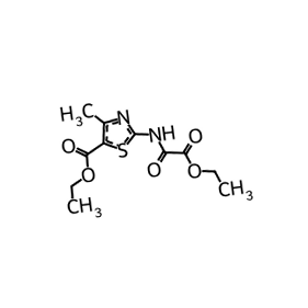 CCOC(=O)C(=O)Nc1nc(C)c(C(=O)OCC)s1